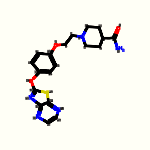 NC(=O)C1CCN(CCOc2ccc(Oc3nc4nccnc4s3)cc2)CC1